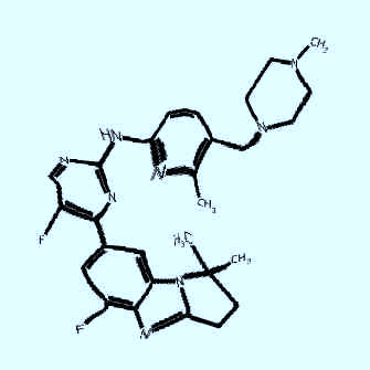 Cc1nc(Nc2ncc(F)c(-c3cc(F)c4nc5n(c4c3)C(C)(C)CC5)n2)ccc1CN1CCN(C)CC1